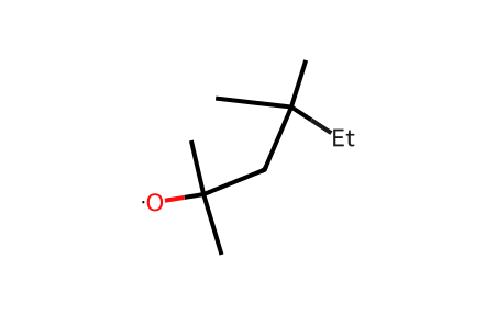 CCC(C)(C)CC(C)(C)[O]